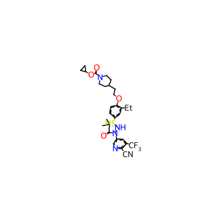 CCc1cc([SH]2NN(c3cnc(C#N)c(C(F)(F)F)c3)C(=O)C2(C)C)ccc1OCCC1CCN(C(=O)OC2CC2)CC1